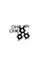 CCCc1cc(-c2ccccc2)c(-c2ccccc2)c(C=O)c1C=O